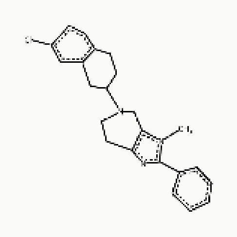 Cn1c(-c2ccccc2)nc2c1CN(C1CCc3ccc(Cl)cc3C1)CC2